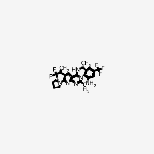 C=C(c1cc2c(N[C@H](C)c3cc(N)cc(C(F)(F)F)c3)nc(C)nc2nc1N1CCCC1)C(F)(F)F